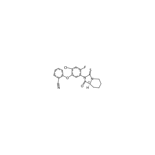 N#Cc1ccccc1Oc1cc(N2C(=O)[C@@H]3CCCCN3C2=S)c(F)cc1Cl